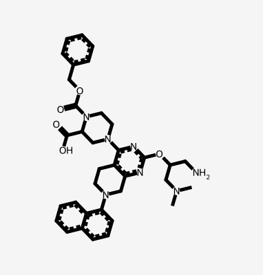 CN(C)CC(CN)Oc1nc2c(c(N3CCN(C(=O)OCc4ccccc4)C(C(=O)O)C3)n1)CCN(c1cccc3ccccc13)C2